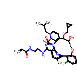 C=CC(=O)NCCNc1nc(=O)n2c3nc(c(C)cc13)-c1c(F)cccc1OCC(O)C(OCC1CC1)C1=C2[C@@H](C)N(CC(C)C)C=C1